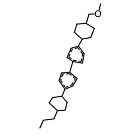 CCCC1CCC(c2ccc(-c3ccc(C4CCC(COC)CC4)cc3)cc2)CC1